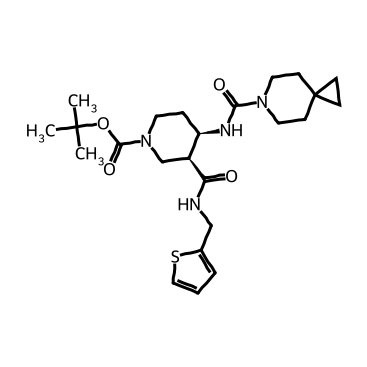 CC(C)(C)OC(=O)N1CC[C@@H](NC(=O)N2CCC3(CC2)CC3)[C@@H](C(=O)NCc2cccs2)C1